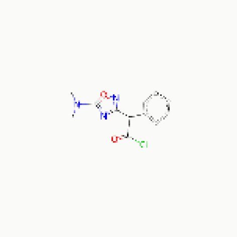 CN(C)c1nc(C(C(=O)Cl)c2ccccc2)no1